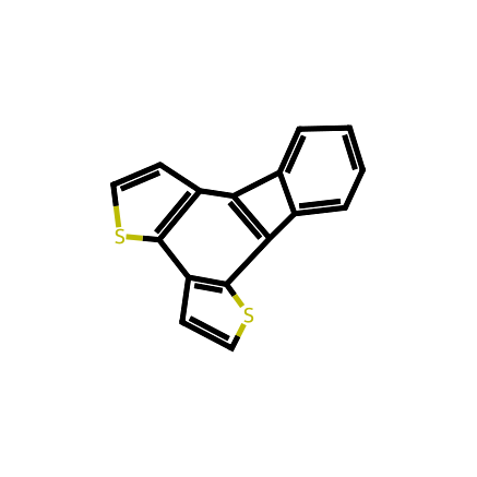 c1ccc2c(c1)-c1c-2c2sccc2c2sccc12